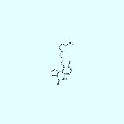 CN(C)C1CCN(CCCc2c(O)ccc3[nH]c(=O)c4sccc4c23)C1